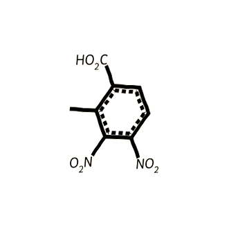 Cc1c(C(=O)O)ccc([N+](=O)[O-])c1[N+](=O)[O-]